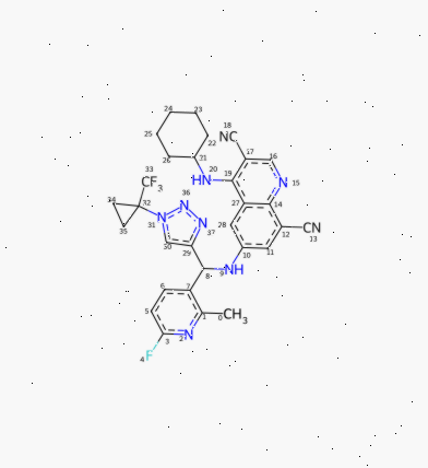 Cc1nc(F)ccc1C(Nc1cc(C#N)c2ncc(C#N)c(NC3CCCCC3)c2c1)c1cn(C2(C(F)(F)F)CC2)nn1